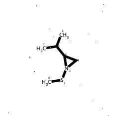 CSN1CC1C(C)C